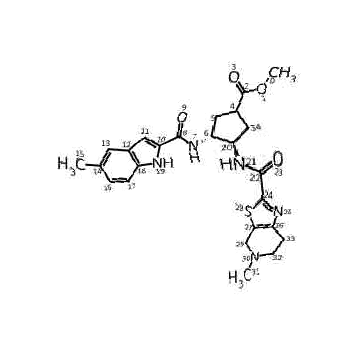 COC(=O)C1C[C@@H](NC(=O)c2cc3cc(C)ccc3[nH]2)[C@H](NC(=O)c2nc3c(s2)CN(C)CC3)C1